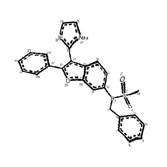 CS(=O)(=O)N(Cc1ccccc1)c1ccc2c(-c3ncc[nH]3)c(-c3ccccc3)oc2c1